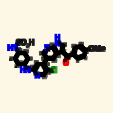 COc1ccc(C(=O)c2c[nH]c3ncc(-c4cc(N[C@H]5CC[C@H](NC(=O)O)CC5)ncc4Cl)cc23)cc1